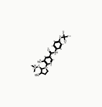 C[SiH](C)OC1C(C(C)(C)C)CCN1c1ncc(C(=O)Nc2ccc(OC(F)(F)Cl)cc2)cc1C#N